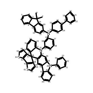 CC1(C)c2ccccc2-c2ccc(N(c3ccc(-c4ccccc4)cc3)c3cccc(N4c5ccccc5C5(c6cc7c8ccccc8n(-c8ccccc8)c7cc64)c4ccsc4-c4sccc45)c3)cc21